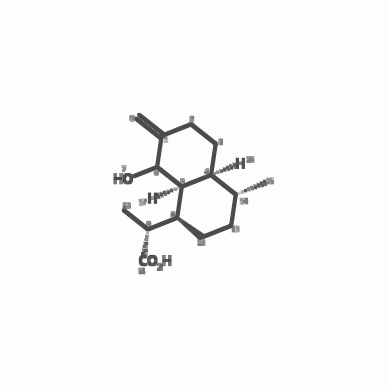 C=C1CC[C@@H]2[C@H](C1O)[C@H]([C@@H](C)C(=O)O)CC[C@H]2C